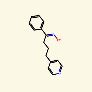 ON=C(CCCc1ccncc1)c1ccccc1